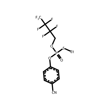 CCSP(=O)(OCC(F)(F)C(F)(F)C(F)(F)F)Oc1ccc(C#N)cc1